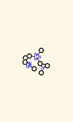 c1ccc(-c2nc(-c3ccc4ccc5ccc6nn(-c7ccccc7)nc6c5c4c3)nc(-c3ccc4c(c3)c3ccccc3n4-c3ccccc3)n2)cc1